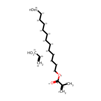 C=C(C)C(=O)OCCCCCCCCCCCCCCCCCCCCCC.C=CC(=O)O